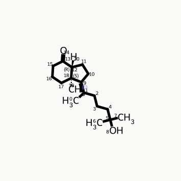 C/C(CCCC(C)(C)O)=C1/CC[C@H]2C(=O)CCC[C@]12C